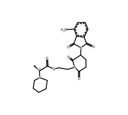 C[C@@H](C(=O)OCCN1C(=O)CCC(N2C(=O)c3cccc(N)c3C2=O)C1=O)N1CCCCC1